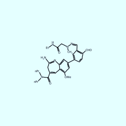 CCCN(CCC)C(=O)C1=Cc2c(cc(-c3ccc(C=O)c(/C=N\N(C)CC(=O)NCC)c3)cc2OC)N=C(N)C1